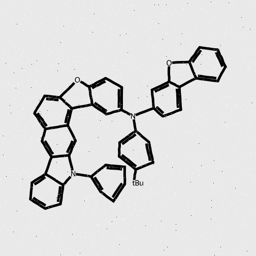 CC(C)(C)c1ccc(N(c2ccc3c(c2)oc2ccccc23)c2ccc3oc4ccc5cc6c7ccccc7n(-c7ccccc7)c6cc5c4c3c2)cc1